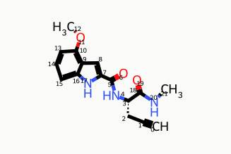 C#CC[C@H](NC(=O)c1cc2c(OC)cccc2[nH]1)C(=O)NC